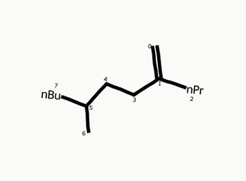 C=C(CCC)CCC(C)CCCC